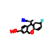 C/C(C#N)=C1/c2ccc(CO)cc2COc2ccc(F)cc21